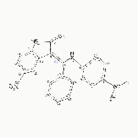 CC(=O)N(C)c1ccc(N/C(=C2\C(=O)Nc3ccc([N+](=O)[O-])cc32)c2ccccc2)cc1